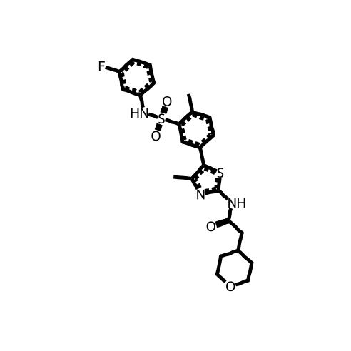 Cc1ccc(-c2sc(NC(=O)CC3CCOCC3)nc2C)cc1S(=O)(=O)Nc1cccc(F)c1